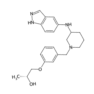 C[C@@H](O)COc1cccc(CN2CCCC(Nc3ccc4[nH]ncc4c3)C2)c1